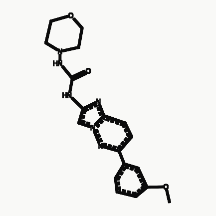 COc1cccc(-c2ccc3nc(NC(=O)NN4CCOCC4)cn3n2)c1